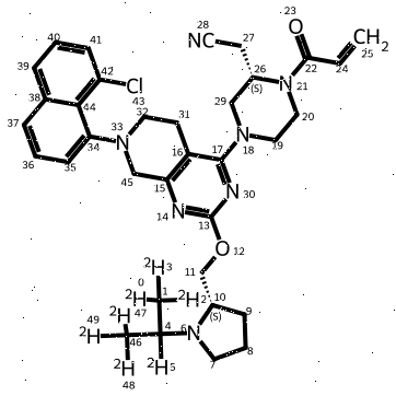 [2H]C([2H])([2H])C([2H])(N1CCC[C@H]1COc1nc2c(c(N3CCN(C(=O)C=C)[C@@H](CC#N)C3)n1)CCN(c1cccc3cccc(Cl)c13)C2)C([2H])([2H])[2H]